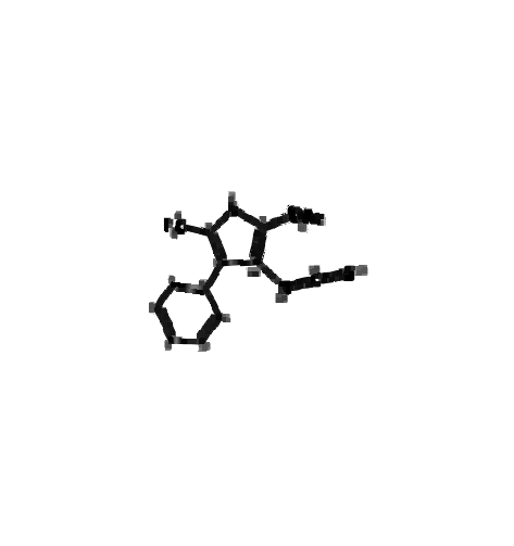 CC(=O)Oc1sc(C(F)(F)F)c(-c2ccccc2)c1N=C=S